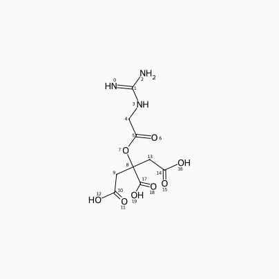 N=C(N)NCC(=O)OC(CC(=O)O)(CC(=O)O)C(=O)O